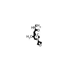 CCN(CC(C)C=CC(=O)NC)C1COC1